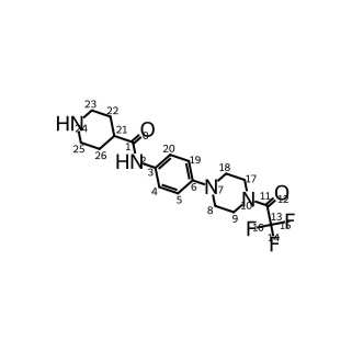 O=C(Nc1ccc(N2CCN(C(=O)C(F)(F)F)CC2)cc1)C1CCNCC1